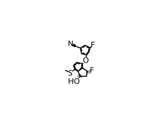 CSc1ccc(Oc2cc(F)cc(C#N)c2)c2c1[C@H](O)C[C@H]2F